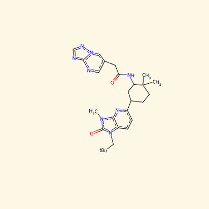 Cn1c(=O)n(CC(C)(C)C)c2ccc(C3CCC(C)(C)C(NC(=O)Cc4cnc5ncnn5c4)C3)nc21